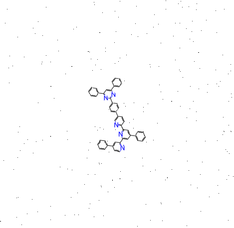 c1ccc(-c2ccnc(-c3cc(-c4ccccc4)cc(-c4ccc(-c5ccc(-c6nc(-c7ccccc7)cc(-c7ccccc7)n6)cc5)cn4)n3)c2)cc1